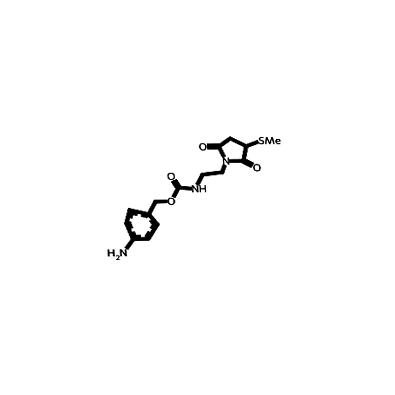 CSC1CC(=O)N(CCNC(=O)OCc2ccc(N)cc2)C1=O